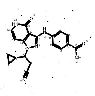 N#CCC(C1CC1)n1nc(Nc2ccc(C(=O)O)cc2)c2c(=O)[nH]ccc21